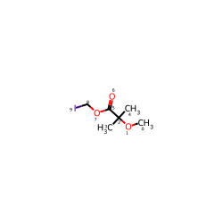 COC(C)(C)C(=O)OCI